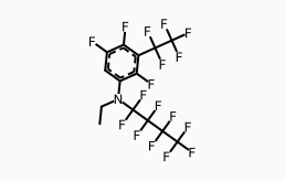 CCN(c1cc(F)c(F)c(C(F)(F)C(F)(F)F)c1F)C(F)(F)C(F)(F)C(F)(F)C(F)(F)F